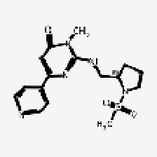 Cn1c(NC[C@H]2CCCN2S(C)(=O)=O)nc(-c2ccncc2)cc1=O